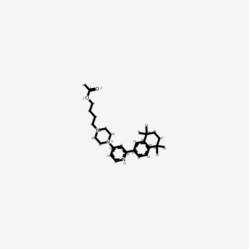 CC(=O)OCCCCN1CCN(c2ccnc(-c3ccc4c(c3)C(C)(C)CCC4(C)C)c2)CC1